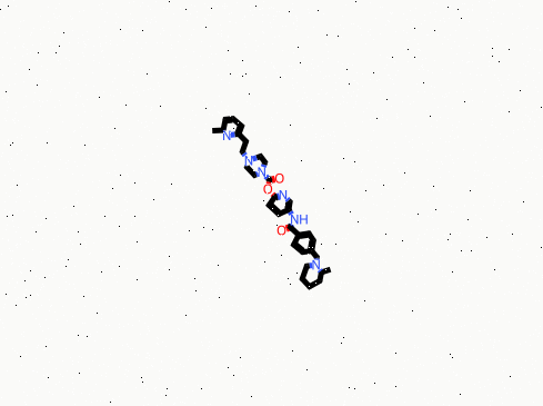 Cc1cccc(CCN2CCN(C(=O)Oc3ccc(NC(=O)c4ccc(CN5CCCCC5C)cc4)cn3)CC2)n1